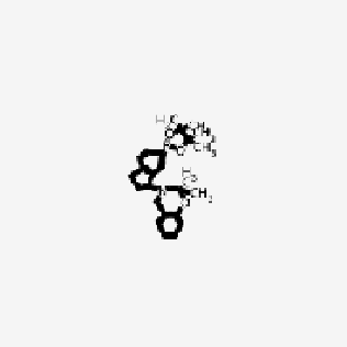 CC1(C)CN(C2CCc3ccc(B4OC(C)(C)C(C)(C)O4)cc32)Cc2ccccc2O1